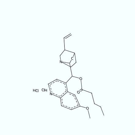 C=CC1CN2CCC1CC2C(OC(=O)CCCC)c1ccnc2ccc(OC)cc12.Cl.Cl